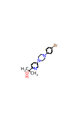 CC(C)(O)c1ccc(N2CCN(c3ccc(Br)cc3)CC2)cn1